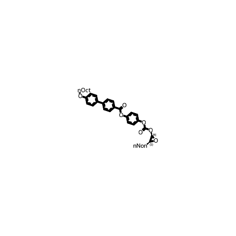 CCCCCCCCC[C@@H]1O[C@@H]1OC(=O)Oc1ccc(OC(=O)c2ccc(-c3ccc(OCCCCCCCC)cc3)cc2)cc1